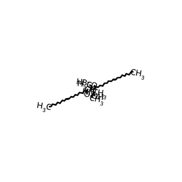 Br.CCCCCCCCC=CCCCCCCCC(=O)OC(CC)(NC(C)(O)CC)OC(=O)CCCCCCCC=CCCCCCCCC